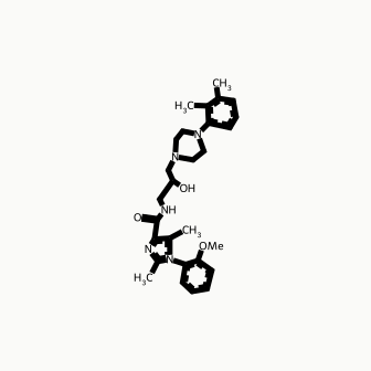 COc1ccccc1-n1c(C)nc(C(=O)NCC(O)CN2CCN(c3cccc(C)c3C)CC2)c1C